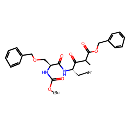 CC(C)C[C@H](NC(=O)[C@H](COCc1ccccc1)NC(=O)OC(C)(C)C)C(=O)C(C)C(=O)OCc1ccccc1